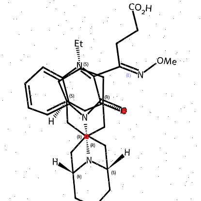 CC[C@@H]1C[C@@H]2C[C@H](C1)C[C@@H](N1[C@@H]3CCC[C@H]1C[C@@H](n1c(=O)c(/C(CCC(=O)O)=N/OC)nc4ccccc41)C3)C2